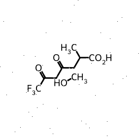 CC(CC(=O)CC(=O)C(F)(F)F)C(=O)O.CO